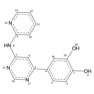 Oc1ccc(-c2cc(Nc3ccccn3)ncn2)cc1O